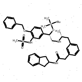 C[C@H](Cc1cccc(CC(=O)NC2Cc3ccccc3C2)c1)NC[C@@H](O[Si](C)(C)C(C)(C)C)c1ccc(OCc2ccccc2)c(NS(C)(=O)=O)c1